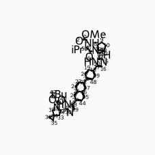 COC(=O)N[C@H](C(=O)N1C2CC[C@@H](C2)[C@H]1c1ncc(-c2ccc(-c3ccc4cc(-c5cnc([C@@H]6CC7(CC7)CN6C(=O)OC(C)(C)C)[nH]5)ccc4c3)cc2)[nH]1)C(C)C